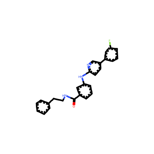 O=C(NCCc1ccccc1)c1cccc(Nc2ccc(-c3cccc(F)c3)cn2)c1